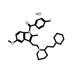 COc1ccc2c(c1)c(CCN1CCCCC1CCC1CCCCC1)c(C)n2C(=O)c1ccc(F)cc1.Cl